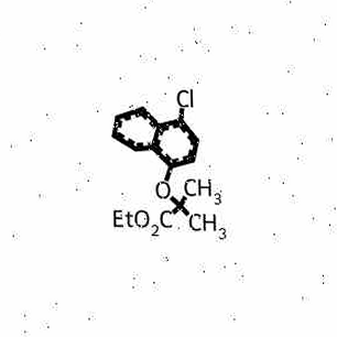 CCOC(=O)C(C)(C)Oc1ccc(Cl)c2ccccc12